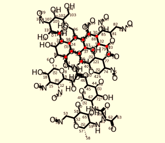 CNC1C(O)[C@H](O[C@@H]2OC(CO)[C@H](N=O)C(N=O)C2O)C(CO)O[C@H]1OC1C(N=O)[C@H](O)C(CN=O)O[C@@H]1OCC1O[C@@H](O[C@@H]2C(CO)O[C@@H](O[C@@H]3C(CN=O)O[C@@H](C)C(NNC(C)=O)C3O)C(NC(C)=O)C2O)C(N=O)C(O[C@H]2OC(CN=O)[C@@H](N=O)C(N=O)C2O[C@@H]2OC(CO)[C@@H](O[C@@H]3OC(CO)[C@H](O)C(N=O)C3O)C(N=O)C2NNC(C)=O)[C@@H]1O